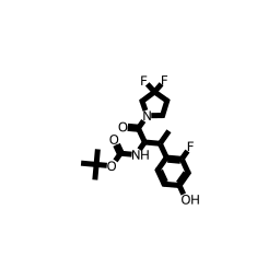 CC(c1ccc(O)cc1F)C(NC(=O)OC(C)(C)C)C(=O)N1CCC(F)(F)C1